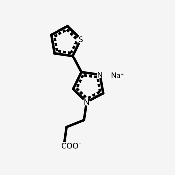 O=C([O-])CCn1cnc(-c2cccs2)c1.[Na+]